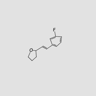 Fc1cccc(C=CC2CCCO2)c1